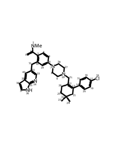 C=C(NC)c1ccc(N2CCN(CC3=C(c4ccc(Cl)cc4)CC(C)(C)CC3)CC2)cc1Cc1cnc2[nH]ccc2c1